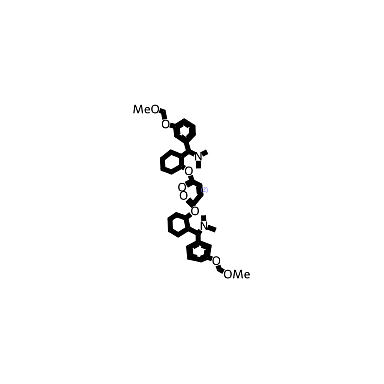 COCOc1cccc(C(C2CCCCC2OC(=O)/C=C\C(=O)OC2CCCCC2C(c2cccc(OCOC)c2)N(C)C)N(C)C)c1